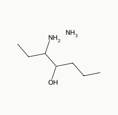 CCCC(O)C(N)CC.N